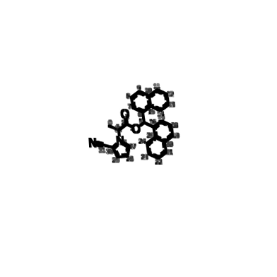 C[C@@H](C(=O)OC(c1cccc2ccccc12)c1cccc2ccccc12)n1cccc1C#N